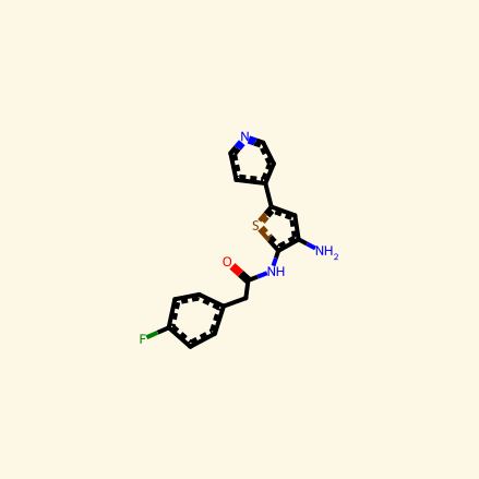 Nc1cc(-c2ccncc2)sc1NC(=O)Cc1ccc(F)cc1